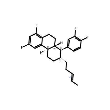 C/C=C/CC[C@@H]1CC[C@H]2c3cc(F)cc(F)c3CC[C@@H]2[C@H]1c1ccc(F)c(F)c1